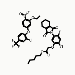 CCCCCOC(=O)COc1cc(N2C(=O)C3=C(CCCC3)C2=O)c(F)cc1Cl.CCOc1cc(Oc2ccc(C(F)(F)F)cc2Cl)ccc1[N+](=O)[O-]